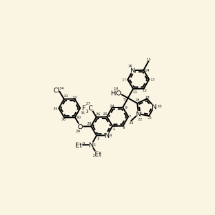 CCN(CC)c1nc2ccc(C(O)(c3ccc(C)nc3)c3cncn3C)cc2c(C(F)(F)F)c1Oc1ccc(Cl)cc1